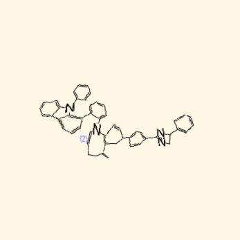 C=C1CC/C=C\N(c2ccccc2-c2cccc3c4ccccc4n(-c4ccccc4)c23)C2=C1CC(c1ccc(C3N4CC(c5ccccc5)N34)cc1)C=C2